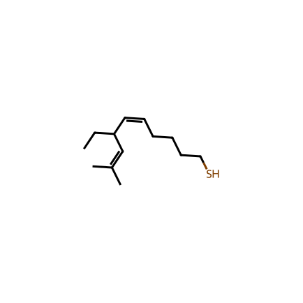 CCC(C=C(C)C)/C=C\CCCCS